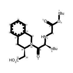 CCCC[C@H](NCC(=O)OC(C)(C)C)C(=O)N1Cc2ccccc2C[C@@H]1CC(=O)O